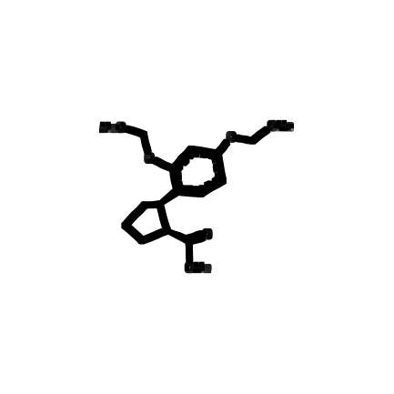 COCOc1ccc([C@@H]2CCC[C@@H]2C(=O)OC)c(OCOC)c1